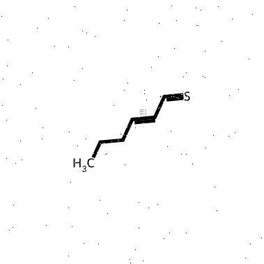 CCC/C=C/[C]=S